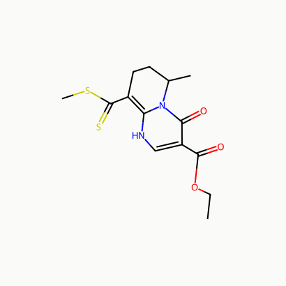 CCOC(=O)C1=CNC2=C(C(=S)SC)CCC(C)N2C1=O